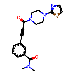 CN(C)C(=O)c1cccc(C#CC(=O)N2CCN(c3nccs3)CC2)c1